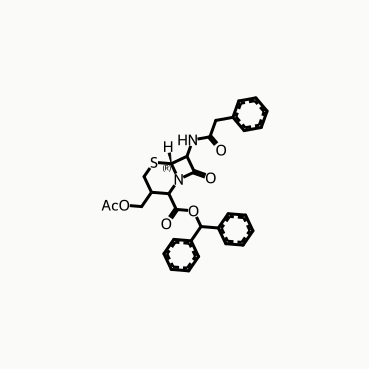 CC(=O)OCC1CS[C@@H]2C(NC(=O)Cc3ccccc3)C(=O)N2C1C(=O)OC(c1ccccc1)c1ccccc1